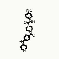 [C-]#[N+]c1ccc(NC(=O)N2CCN(C(=O)c3ccc(N(C)c4ccncc4)cc3)CC2)cc1